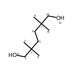 CC(C)([CH]O)[CH]CC(C)(C)CO